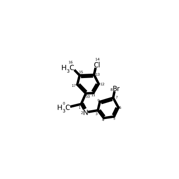 CC(=Nc1cccc(Br)c1)c1ccc(Cl)c(C)c1